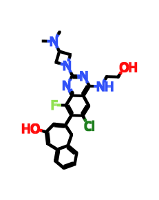 CN(C)C1CN(c2nc(NCCO)c3cc(Cl)c(C4=CC(O)=Cc5ccccc5C4)c(F)c3n2)C1